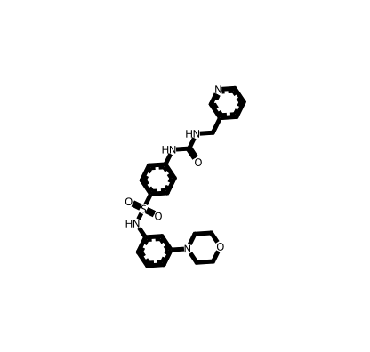 O=C(NCc1cccnc1)Nc1ccc(S(=O)(=O)Nc2cccc(N3CCOCC3)c2)cc1